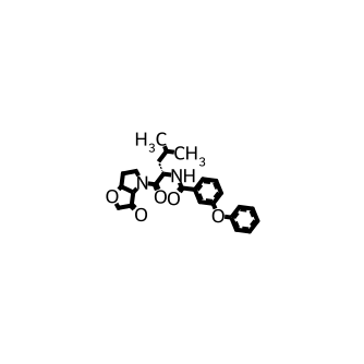 CC(C)C[C@H](NC(=O)c1cccc(Oc2ccccc2)c1)C(=O)N1CCC2OCC(=O)C21